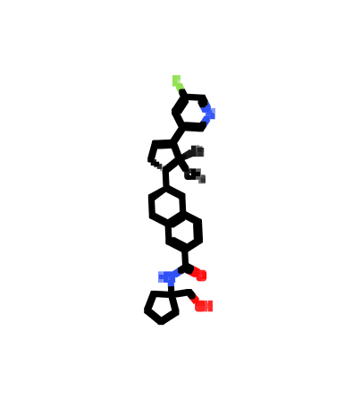 CC[C@]1(C)C(c2cncc(F)c2)=CC[C@H]1[C@@H]1CCc2cc(C(=O)NC3(CO)CCCC3)ccc2C1